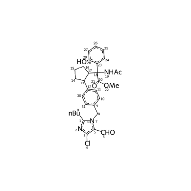 CCCCc1nc(Cl)c(C=O)n1Cc1ccc(C2CCCC2C(NC(C)=O)(C(=O)OC)c2ccccc2O)cc1